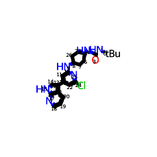 CC(C)(C)NC(=O)NC1CCC(Nc2cc(-c3c[nH]c4ncccc34)cc(Cl)n2)CC1